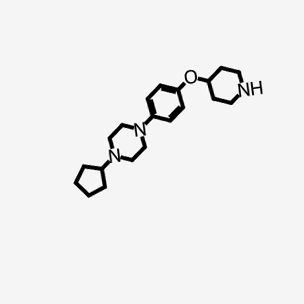 c1cc(N2CCN(C3CCCC3)CC2)ccc1OC1CCNCC1